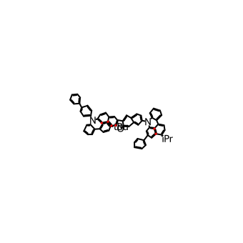 CC(C)c1ccc(-c2ccccc2N(c2cccc(-c3ccccc3)c2)c2ccc3cc4c(cc3c2)oc2cc3cc(N(c5ccc(-c6ccccc6)cc5)c5ccccc5-c5ccc(C(C)(C)C)cc5)ccc3cc24)cc1